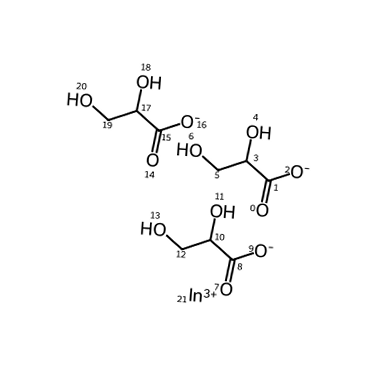 O=C([O-])C(O)CO.O=C([O-])C(O)CO.O=C([O-])C(O)CO.[In+3]